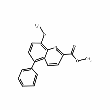 COC(=O)c1ccc2c(-c3ccccc3)ccc(OC)c2n1